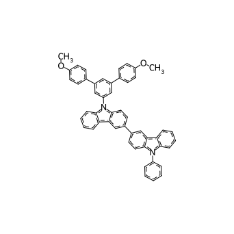 COc1ccc(-c2cc(-c3ccc(OC)cc3)cc(-n3c4ccccc4c4cc(-c5ccc6c(c5)c5ccccc5n6-c5ccccc5)ccc43)c2)cc1